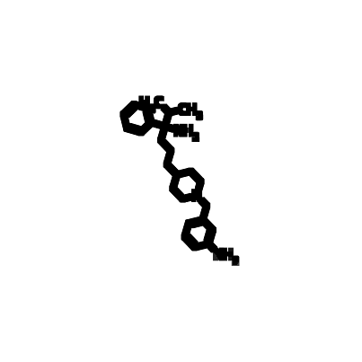 CC(C)C(N)(CCCC1CCN(Cc2cccc(N)c2)CC1)c1ccccc1